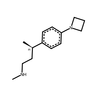 CNCC[C@@H](C)c1ccc(N2CCC2)cc1